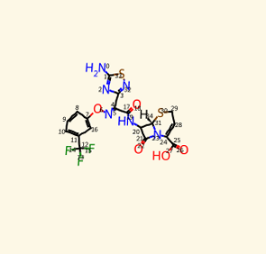 Nc1nc(C(=NOc2cccc(C(F)(F)F)c2)C(=O)NC2C(=O)N3C(C(=O)O)=CCS[C@@H]23)ns1